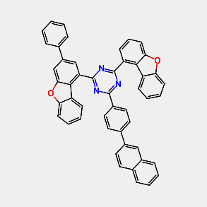 c1ccc(-c2cc(-c3nc(-c4ccc(-c5ccc6ccccc6c5)cc4)nc(-c4cccc5oc6ccccc6c45)n3)c3c(c2)oc2ccccc23)cc1